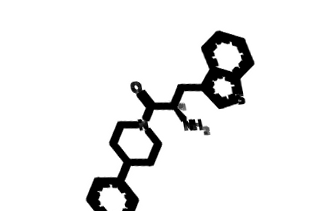 N[C@H](Cc1csc2ccccc12)C(=O)N1CCC(c2ccccc2)CC1